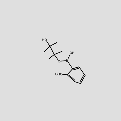 CC(C)(O)C(C)(C)OB(O)c1ccccc1C=O